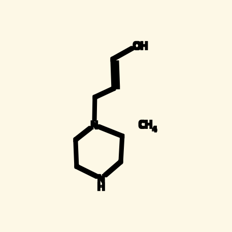 C.OC=CCN1CCNCC1